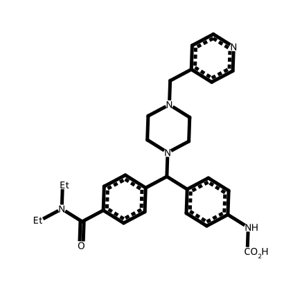 CCN(CC)C(=O)c1ccc(C(c2ccc(NC(=O)O)cc2)N2CCN(Cc3ccncc3)CC2)cc1